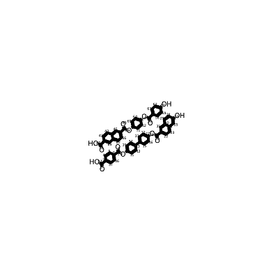 O=C(O)c1ccc(C(=O)Oc2ccc(-c3ccc(OC(=O)c4ccc5cc(O)ccc5c4)cc3)cc2)cc1.O=C(O)c1ccc2cc(C(=O)Oc3ccc(OC(=O)c4ccc(O)cc4)cc3)ccc2c1